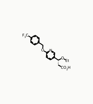 CCO[C@H](CC(=O)O)c1ccc(OCc2ccc(C(F)(F)F)cc2)nc1